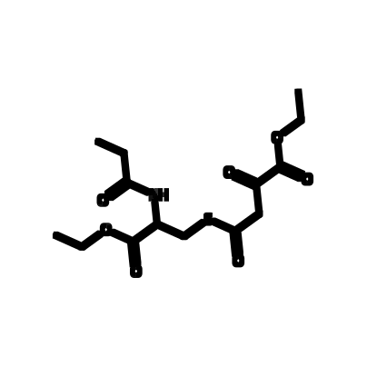 CCOC(=O)C(=O)CC(=O)SCC(NC(=O)CC)C(=O)OCC